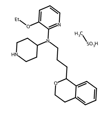 CCOc1cccnc1N(CCCC1OCCc2ccccc21)C1CCNCC1.CS(=O)(=O)O